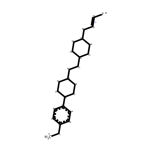 CCc1ccc(C2CCC(CCC3CCC(C/C=C/F)CC3)CC2)cc1